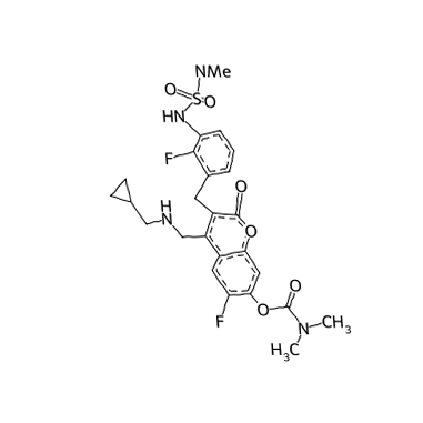 CNS(=O)(=O)Nc1cccc(Cc2c(CNCC3CC3)c3cc(F)c(OC(=O)N(C)C)cc3oc2=O)c1F